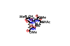 COC(=O)[C@H](CSC[C@@H](NC(=O)CC[C@@H](NC(=O)[C@H](C)NC(C)=O)C(=O)OC)C(=O)N[C@H](C)C(=O)OC)NC(=O)OC(C)(C)C